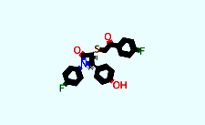 O=C(CS[C@H]1C(=O)N(c2ccc(F)cc2)[C@@H]1c1ccc(O)cc1)c1ccc(F)cc1